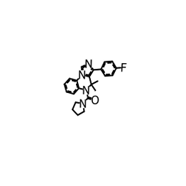 CC1(C)c2c(-c3ccc(F)cc3)ncn2-c2ccccc2N1C(=O)N1CCCC1